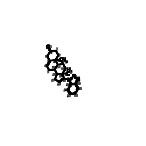 C[C@]12CCC(=O)CC1=CCC1C2CC[C@]2(C)C(n3nnc4ccccc43)=CCC12